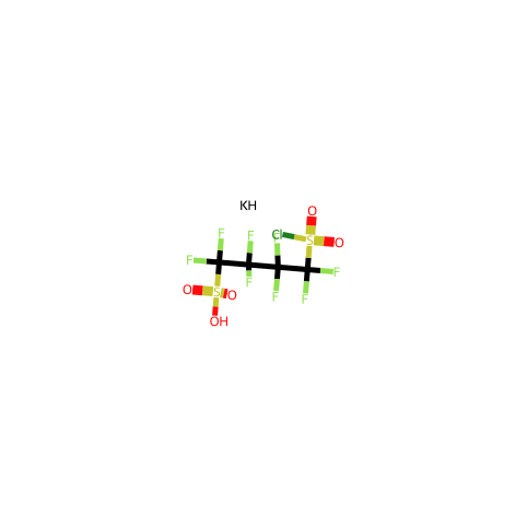 O=S(=O)(O)C(F)(F)C(F)(F)C(F)(F)C(F)(F)S(=O)(=O)Cl.[KH]